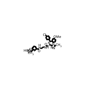 COc1ccc2c(c1)C(c1ccc(Cl)cc1)=N[C@@H](CC(=O)NCCNC(=O)c1cccc(C[Si](C)(C)O)c1)c1nnc(C)n1-2